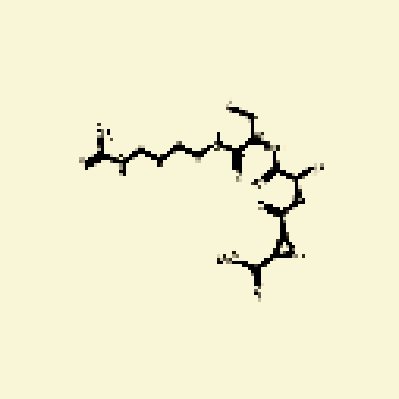 COC(=O)C1OC1C(=O)NC(C(=O)NC(CC(C)C)C(=O)NCCCCNC(=N)N)C(C)C